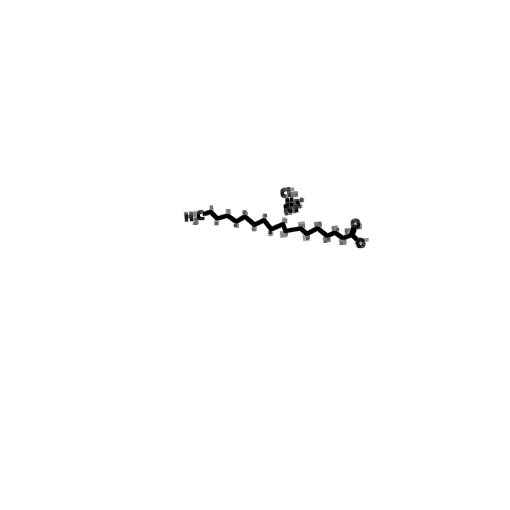 CCCCCCCCCCCCCCCCCC(=O)[O-].[Cl-].[Na+].[Na+]